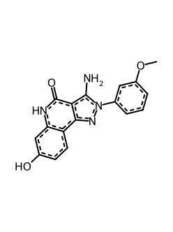 COc1cccc(-n2nc3c(c2N)c(=O)[nH]c2cc(O)ccc23)c1